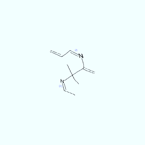 C=C/C=N\C(=C)C(C)(C)/N=C\C